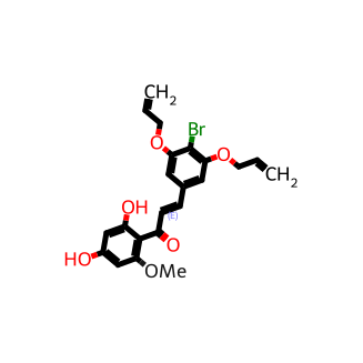 C=CCOc1cc(/C=C/C(=O)c2c(O)cc(O)cc2OC)cc(OCC=C)c1Br